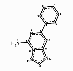 Nc1nc(-c2ccccc2)cc2ncnn12